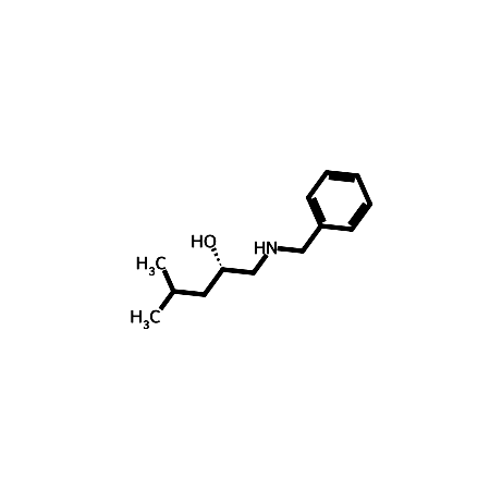 CC(C)C[C@H](O)CNCc1ccccc1